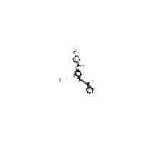 Cl.NC[C@H]1CC[C@H](C(=O)Oc2ccc(C(CCC(=O)c3ccccc3)C(=O)O)cc2)CC1